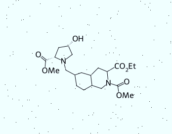 CCOC(=O)C1CC2CC(CN3C[C@@H](O)C[C@H]3C(=O)OC)CCC2CN1C(=O)OC